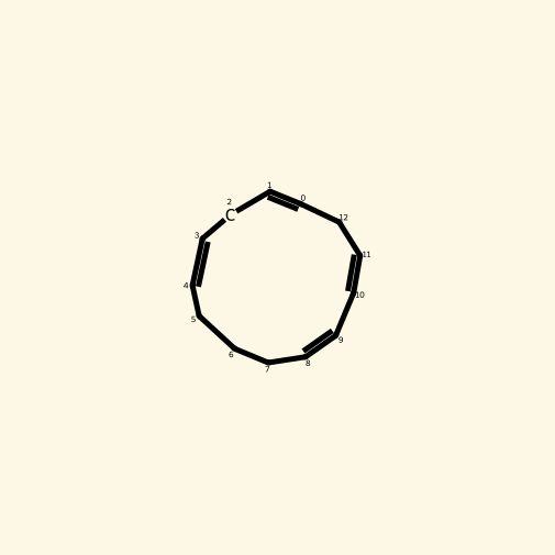 [C]1=CCC=CCCCC=CC=CC1